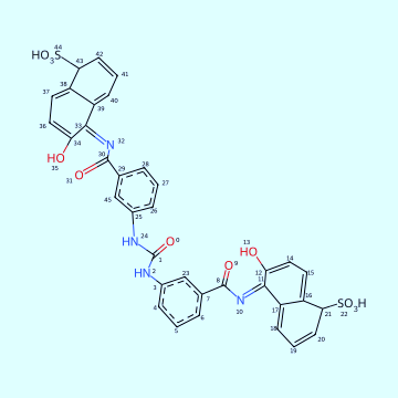 O=C(Nc1cccc(C(=O)N=C2C(O)=CC=C3C2=CC=CC3S(=O)(=O)O)c1)Nc1cccc(C(=O)N=C2C(O)=CC=C3C2=CC=CC3S(=O)(=O)O)c1